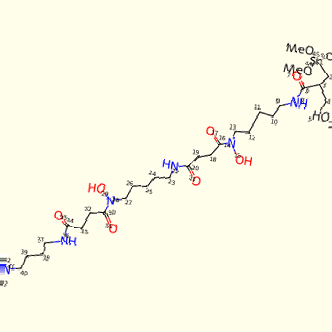 CO[Si](CC(CC(=O)O)C(=O)NCCCCCN(O)C(=O)CCC(=O)NCCCCCN(O)C(=O)CCC(=O)NCCCCN(O)C(C)=O)(OC)OC